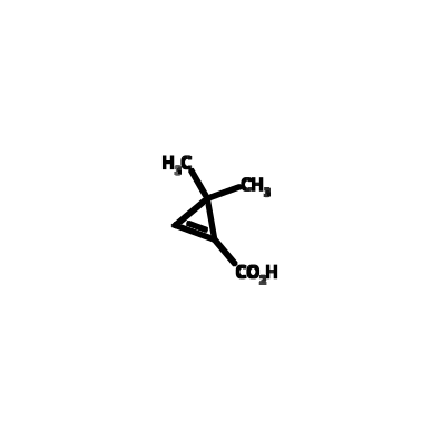 CC1(C)C=C1C(=O)O